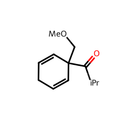 COCC1(C(=O)C(C)C)C=CCC=C1